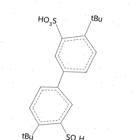 CC(C)(C)c1ccc(-c2ccc(C(C)(C)C)c(S(=O)(=O)O)c2)cc1S(=O)(=O)O